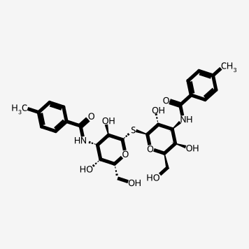 Cc1ccc(C(=O)N[C@H]2[C@@H](O)[C@@H](CO)O[C@@H](S[C@@H]3O[C@H](CO)[C@H](O)[C@H](NC(=O)c4ccc(C)cc4)[C@H]3O)[C@@H]2O)cc1